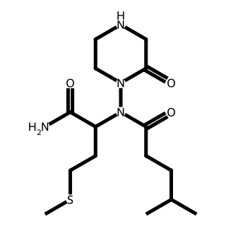 CSCCC(C(N)=O)N(C(=O)CCC(C)C)N1CCNCC1=O